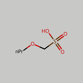 [CH2]CCOCS(=O)(=O)O